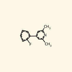 Cc1cc(-c2ccccc2F)cc(C)n1